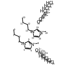 CCCCn1cc[n+](C)c1.CCCCn1cc[n+](C)c1.Cl.Cl.Cl.Cl.Cl.Cl.Cl.Cl.[Al+3].[Al+3].[Al+3].[Al+3].[O-2].[O-2].[O-2]